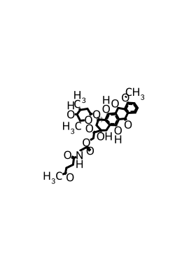 COc1cccc2c1C(=O)c1c(O)c3c(c(O)c1C2=O)CC(O)(C(=O)COC(=O)CNC(=O)CCC(C)=O)C[C@@H]3OC1CC(C)C(O)C(C)O1